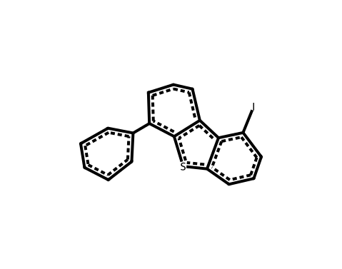 Ic1cccc2sc3c(-c4ccccc4)cccc3c12